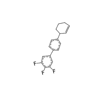 Fc1cc(-c2ccc(C3C=CCCC3)cc2)cc(F)c1F